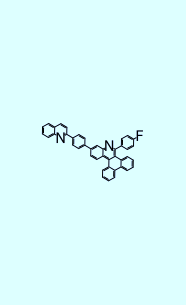 Fc1ccc(-c2nc3cc(-c4ccc(-c5ccc6ccccc6n5)cc4)ccc3c3c4ccccc4c4ccccc4c23)cc1